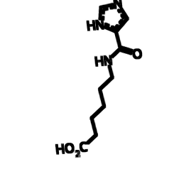 O=C(O)CCCCCNC(=O)c1cnc[nH]1